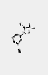 C#Cc1cccc(N2CC(C)(C)C2=O)c1